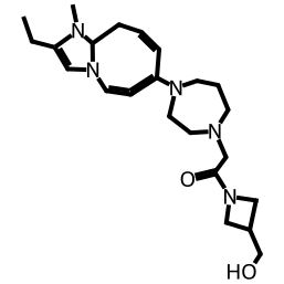 CCC1=CN2C=C=C(N3CCCN(CC(=O)N4CC(CO)C4)CC3)/C=C\CC2N1C